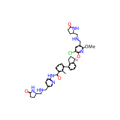 COc1nc(O[C@H]2CCc3c(-c4cccc(C(=O)Nc5ccc(CNCC6CCC(=O)N6)cn5)c4C)cccc32)c(Cl)cc1CNCC1CCC(=O)N1